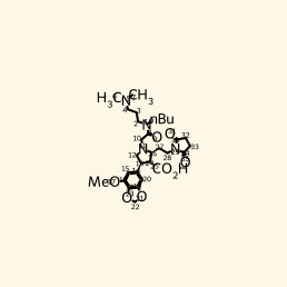 CCCCN(CCCN(C)C)C(=O)CN1C[C@H](c2cc(OC)c3c(c2)OCO3)[C@@H](C(=O)O)[C@@H]1CCN1C(=O)CCC1=O